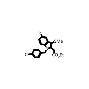 CCOC(=O)Cc1c(SC)c2cc(F)ccc2n1Cc1ccc(Cl)cc1